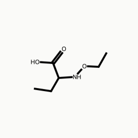 CCONC(CC)C(=O)O